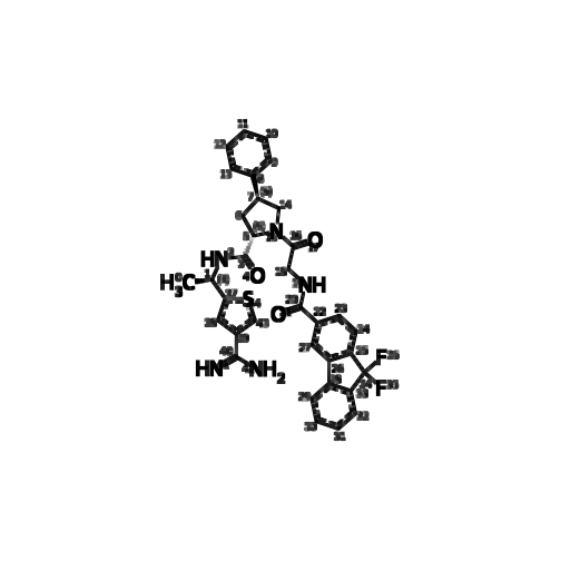 C[C@@H](NC(=O)[C@@H]1C[C@@H](c2ccccc2)CN1C(=O)CNC(=O)c1ccc2c(c1)-c1ccccc1C2(F)F)c1cc(C(=N)N)cs1